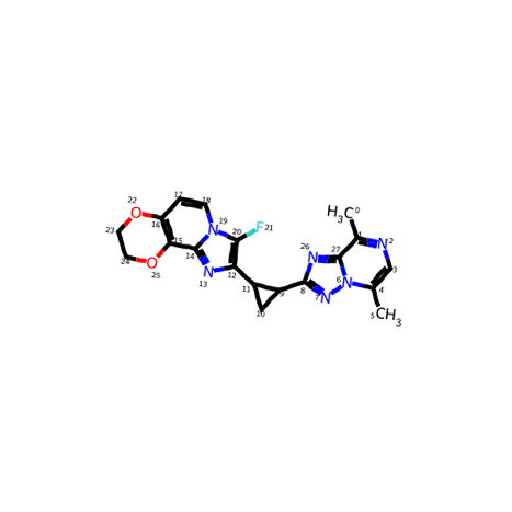 Cc1ncc(C)n2nc(C3CC3c3nc4c5c(ccn4c3F)OCCO5)nc12